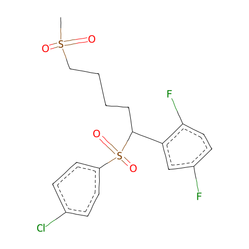 CS(=O)(=O)CCCCC(c1cc(F)ccc1F)S(=O)(=O)c1ccc(Cl)cc1